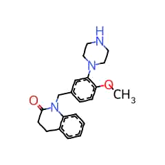 COc1ccc(CN2C(=O)CCc3ccccc32)cc1N1CCNCC1